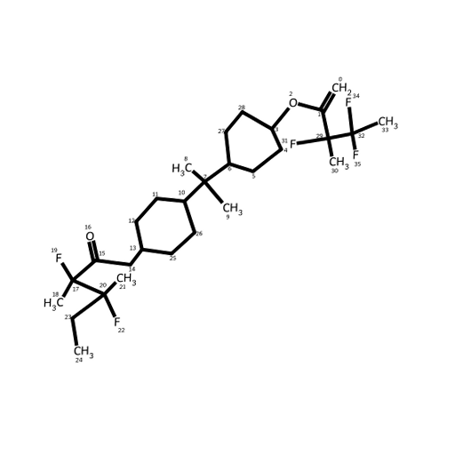 C=C(OC1CCC(C(C)(C)C2CCC(CC(=O)C(C)(F)C(C)(F)CC)CC2)CC1)C(C)(F)C(C)(F)F